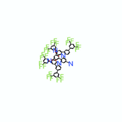 N#Cc1cc(C#N)cc(-c2c(-n3c4ccc(-c5cc(C(F)(F)F)cc(C(F)(F)F)c5)cc4c4cc(-c5cc(C(F)(F)F)cc(C(F)(F)F)c5)ccc43)cc(C#N)cc2-n2c3ccc(-c4cc(C(F)(F)F)cc(C(F)(F)F)c4)cc3c3cc(-c4cc(C(F)(F)F)cc(C(F)(F)F)c4)ccc32)c1